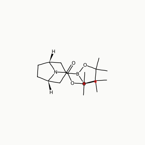 CC(C)(C)OC(=O)N1[C@@H]2CC[C@H]1CC(B1OC(C)(C)C(C)(C)O1)C2